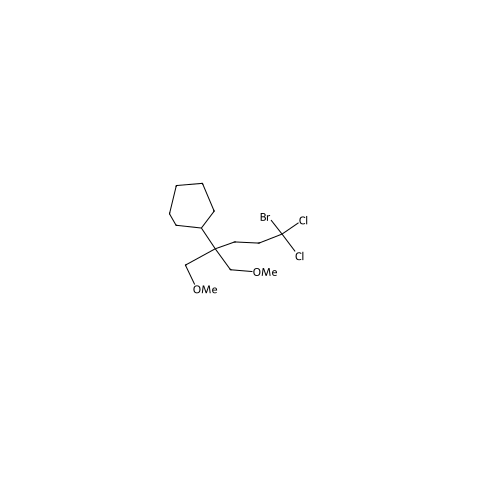 COCC(CCC(Cl)(Cl)Br)(COC)C1CCCCC1